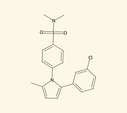 Cc1ccc(-c2cccc(Cl)c2)n1-c1ccc(S(=O)(=O)N(C)C)cc1